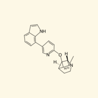 C[C@H]1[C@H](Oc2ccc(-c3cccc4cc[nH]c34)cn2)C2CCN1CC2